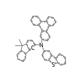 CC1(C)c2ccccc2-c2cc(N(c3ccc4sc5ccccc5c4c3)c3ccc4c5ccccc5c5ccccc5c4c3)ccc21